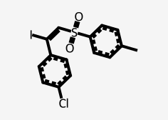 Cc1ccc(S(=O)(=O)/C=C(/I)c2ccc(Cl)cc2)cc1